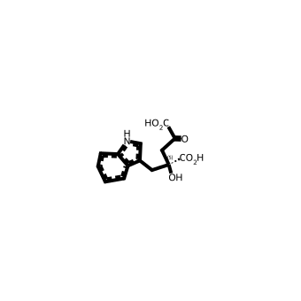 O=C(O)C(=O)C[C@@](O)(Cc1c[nH]c2ccccc12)C(=O)O